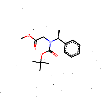 COC(=O)CN(C(=O)OC(C)(C)C)[C@@H](C)c1ccccc1